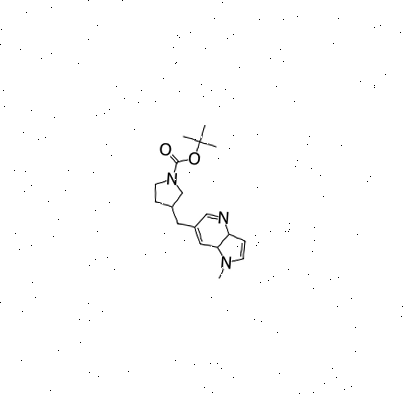 CN1C=CC2N=CC(CC3CCN(C(=O)OC(C)(C)C)C3)=CC21